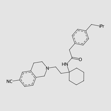 CC(C)Cc1ccc(CC(=O)NC2(CCN3CCc4cc(C#N)ccc4C3)CCCCC2)cc1